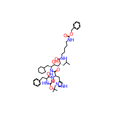 CC(C)C[C@H](C[C@H](O)[C@H](CC1CCCCC1)NC(=O)C(Cc1c[nH]cn1)NC(=O)C(Cc1ccccc1)NC(=O)OC(C)(C)C)C(=O)NCCCCCNC(=O)OCc1ccccc1